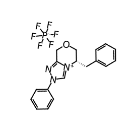 F[P-](F)(F)(F)(F)F.c1ccc(C[C@H]2COCc3nn(-c4ccccc4)c[n+]32)cc1